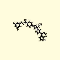 N#CCC1(n2cc(-c3ncnc4[nH]ccc34)cn2)CN(C2CCN(C(=O)OCc3cc(F)cc(F)c3)CC2)C1